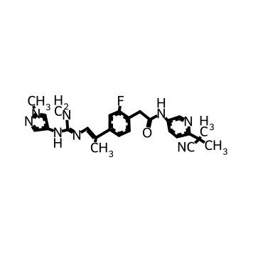 C=N/C(=N\C=C(/C)c1ccc(CC(=O)Nc2ccc(C(C)(C)C#N)nc2)c(F)c1)Nc1cnn(C)c1